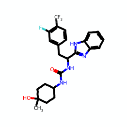 CC1(O)CCC(NC(=O)NC(Cc2ccc(C(F)(F)F)c(F)c2)c2nc3ccccc3[nH]2)CC1